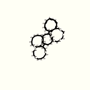 C1=C\C=C/C=C2/CCCCCCCCCCN/C2=C(C2CCCCCC(C3CCCCCCCCCCC4CCCCCCCCCNC43)CCCC2)/C=C\C=C/1